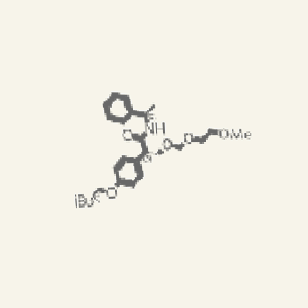 CC[C@H](C)COc1ccc([C@@H](COCOCCOC)C(=O)N[C@H](C)c2ccccc2)cc1